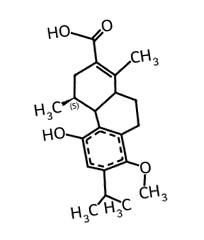 COc1c(C(C)C)cc(O)c2c1CCC1C(C)=C(C(=O)O)C[C@H](C)C21